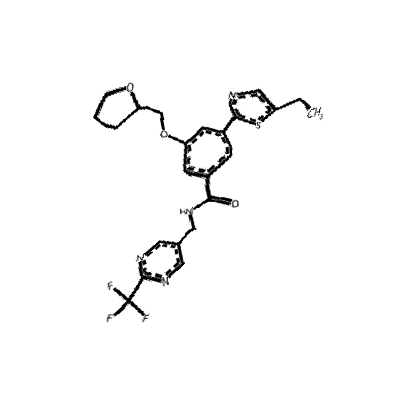 CCc1cnc(-c2cc(OCC3CCCO3)cc(C(=O)NCc3cnc(C(F)(F)F)nc3)c2)s1